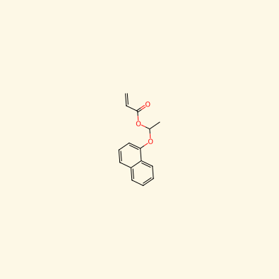 C=CC(=O)OC(C)Oc1cccc2ccccc12